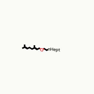 CCCCCCCCCOC/C=C(\C)CCC=C(C)C